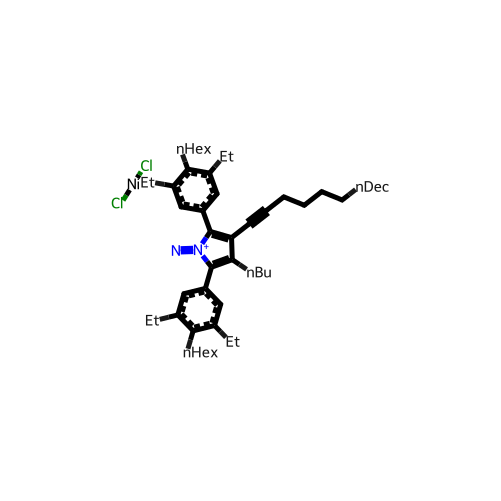 CCCCCCCCCCCCCCC#CC1=C(c2cc(CC)c(CCCCCC)c(CC)c2)[N+](=[N-])C(c2cc(CC)c(CCCCCC)c(CC)c2)=C1CCCC.[Cl][Ni][Cl]